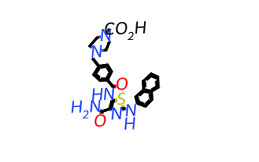 NC(=O)c1nc(Nc2ccc3ccccc3c2)sc1NC(=O)c1ccc(CN2CCN(C(=O)O)CC2)cc1